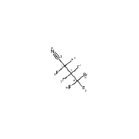 N#CC(F)(F)C(F)(F)C(F)(F)Br